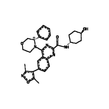 Cc1noc(C)c1-c1ccc2nc(C(=O)N[C@H]3CC[C@H](O)CC3)nc(N3CCOC[C@@H]3c3ccccc3)c2c1